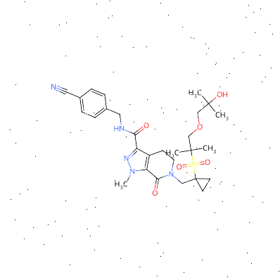 Cn1nc(C(=O)NCc2ccc(C#N)cc2)c2c1C(=O)N(CC1(S(=O)(=O)C(C)(C)COCC(C)(C)O)CC1)CC2